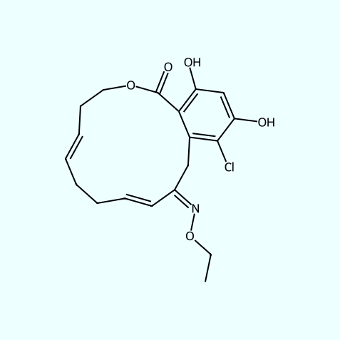 CCON=C1/C=C/CC/C=C/CCOC(=O)c2c(O)cc(O)c(Cl)c2C1